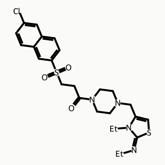 CCN=c1scc(CN2CCN(C(=O)CCS(=O)(=O)c3ccc4cc(Cl)ccc4c3)CC2)n1CC